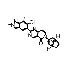 Cc1c(O)c(-c2ncc3c(=O)n(C4C[C@H]5CC[C@@H](C4)N5)ccc3n2)cc2cn(C)nc12